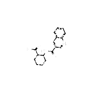 O=C(NC1CCCCC1C(=O)O)c1cnc2ccccc2c1